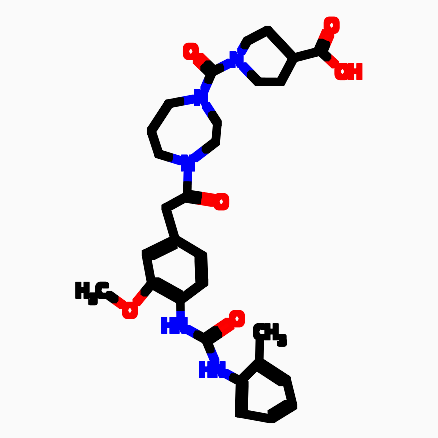 COc1cc(CC(=O)N2CCCN(C(=O)N3CCC(C(=O)O)CC3)CC2)ccc1NC(=O)Nc1ccccc1C